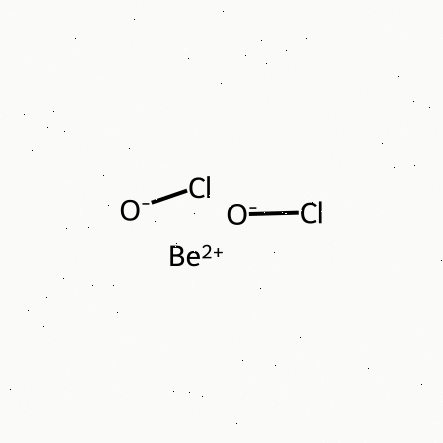 [Be+2].[O-]Cl.[O-]Cl